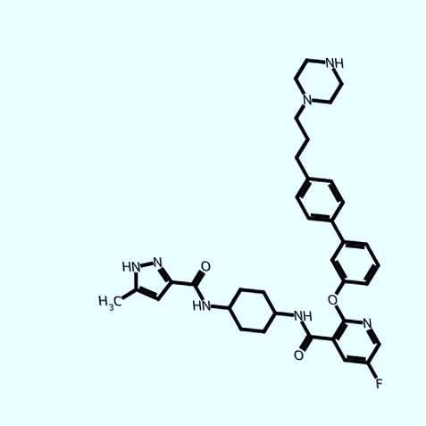 Cc1cc(C(=O)NC2CCC(NC(=O)c3cc(F)cnc3Oc3cccc(-c4ccc(CCCN5CCNCC5)cc4)c3)CC2)n[nH]1